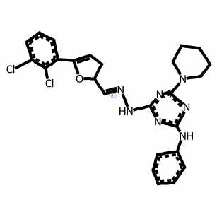 Clc1cccc(C2=CCC(/C=N/Nc3nc(Nc4ccccc4)nc(N4CCCCC4)n3)O2)c1Cl